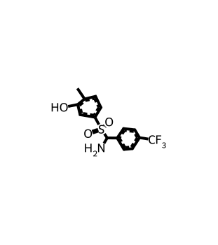 Cc1ccc(S(=O)(=O)C(N)c2ccc(C(F)(F)F)cc2)cc1O